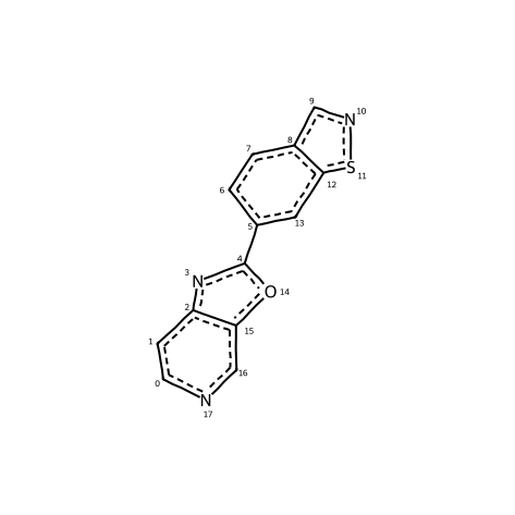 c1cc2nc(-c3ccc4cnsc4c3)oc2cn1